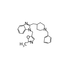 Cc1ncc(Cn2c(CC3CCN(Cc4ccccc4)CC3)nc3ccccc32)o1